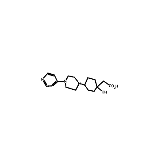 O=C(O)CC1(O)CCC(N2CCN(c3ccncc3)CC2)CC1